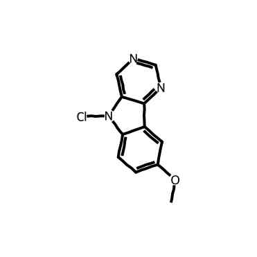 COc1ccc2c(c1)c1ncncc1n2Cl